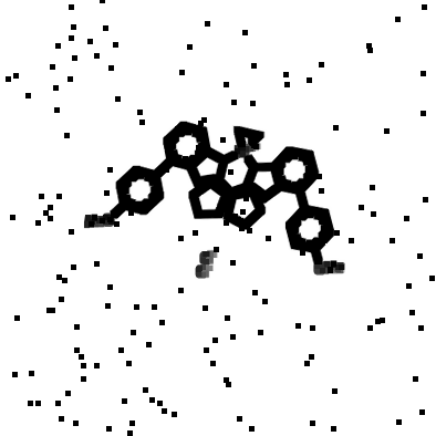 COc1ccc(-c2cccc3c2C=C(C2CCCC2)[CH]3[Hf+2]2([CH]3C(C4CCCC4)=Cc4c(-c5ccc(OC)cc5)cccc43)[CH2][CH2]2)cc1.[Cl-].[Cl-]